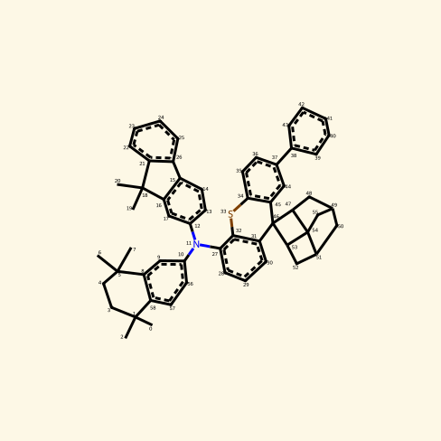 CC1(C)CCC(C)(C)c2cc(N(c3ccc4c(c3)C(C)(C)c3ccccc3-4)c3cccc4c3Sc3ccc(-c5ccccc5)cc3C43C4CC5CC6CC3C64C5)ccc21